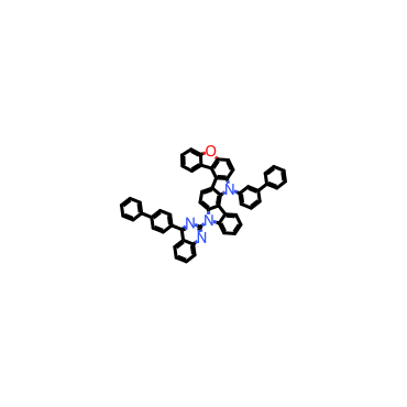 c1ccc(-c2ccc(-c3nc(-n4c5ccccc5c5c4ccc4c6c7c(ccc6n(-c6cccc(-c8ccccc8)c6)c45)oc4ccccc47)nc4ccccc34)cc2)cc1